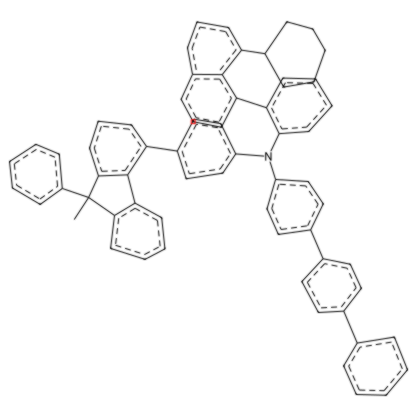 CC1(c2ccccc2)c2ccccc2-c2c(-c3ccc(N(c4ccc(-c5ccc(-c6ccccc6)cc5)cc4)c4ccccc4-c4cccc5cccc(C6CCCCC6)c45)cc3)cccc21